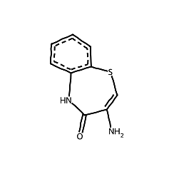 NC1=CSc2ccccc2NC1=O